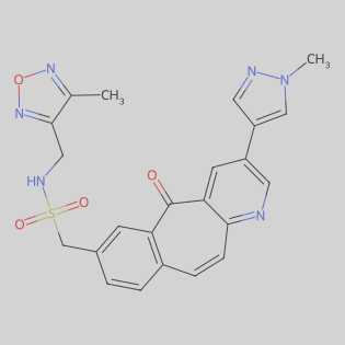 Cc1nonc1CNS(=O)(=O)Cc1ccc2ccc3ncc(-c4cnn(C)c4)cc3c(=O)c2c1